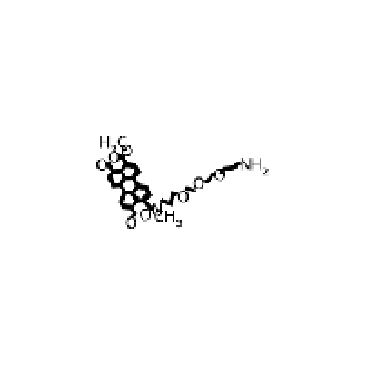 COC(=O)c1ccc2c3ccc(C(=O)N(C)CCCOCCOCCOCCCN)c4c(C=O)ccc(c5ccc(C=O)c1c52)c43